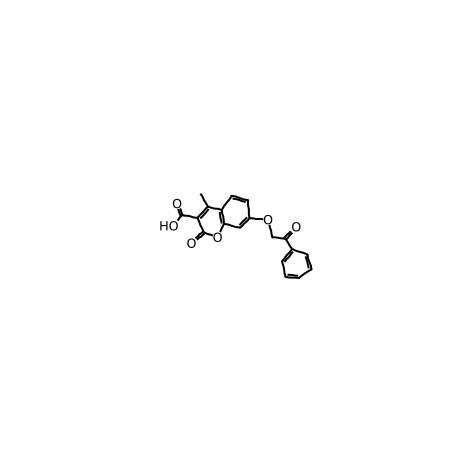 Cc1c(C(=O)O)c(=O)oc2cc(OCC(=O)c3ccccc3)ccc12